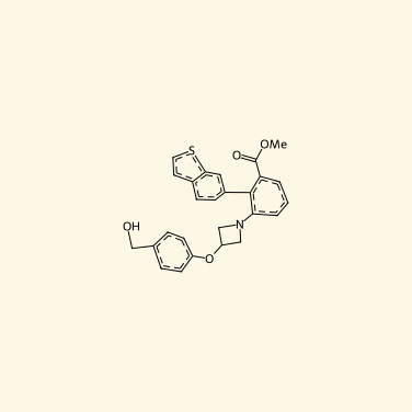 COC(=O)c1cccc(N2CC(Oc3ccc(CO)cc3)C2)c1-c1ccc2ccsc2c1